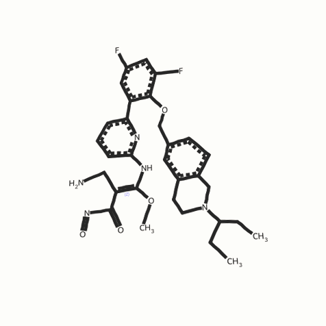 CCC(CC)N1CCc2cc(COc3c(F)cc(F)cc3-c3cccc(N/C(OC)=C(\CN)C(=O)N=O)n3)ccc2C1